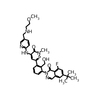 COCCNCc1ccc(Nc2cc(-c3cccc(-n4ncc5cc(C(C)(C)C)cc(F)c5c4=O)c3CO)pn(C)c2=O)nc1